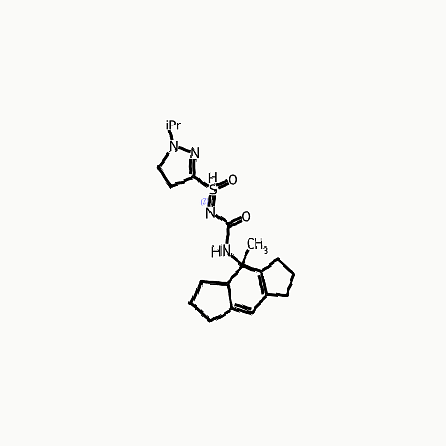 CC(C)N1CCC(/[SH](=O)=N/C(=O)NC2(C)C3=C(C=C4CCCC42)CCC3)=N1